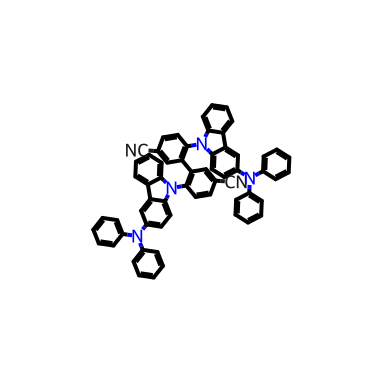 N#Cc1ccc(-n2c3ccccc3c3cc(N(c4ccccc4)c4ccccc4)ccc32)c(-c2cc(C#N)ccc2-n2c3ccccc3c3cc(N(c4ccccc4)c4ccccc4)ccc32)c1